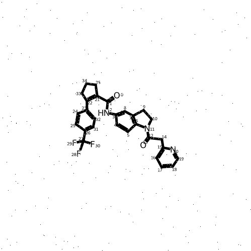 O=C(Nc1ccc2c(c1)CCN2C(=O)Cc1ccccn1)C1=C(c2ccc(C(F)(F)F)cc2)CCC1